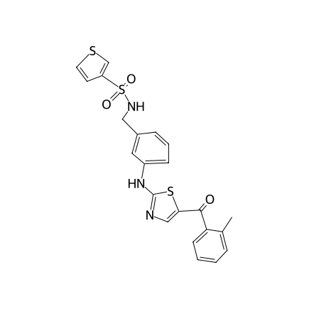 Cc1ccccc1C(=O)c1cnc(Nc2cccc(CNS(=O)(=O)c3ccsc3)c2)s1